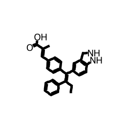 CC/C(=C(/c1ccc(/C=C(\C)C(=O)O)cc1)c1ccc2c(c1)CNN2)c1ccccc1